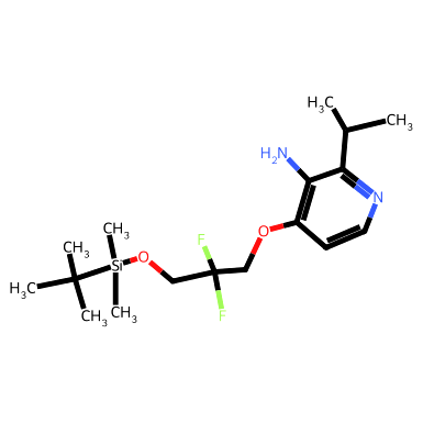 CC(C)c1nccc(OCC(F)(F)CO[Si](C)(C)C(C)(C)C)c1N